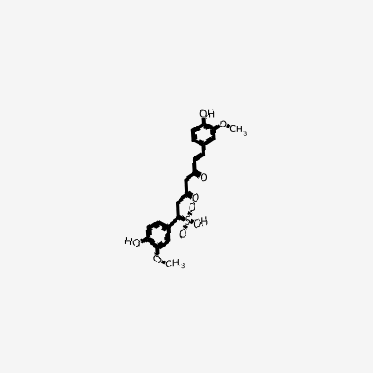 COc1cc(C=CC(=O)CC(=O)CC(c2ccc(O)c(OC)c2)S(=O)(=O)O)ccc1O